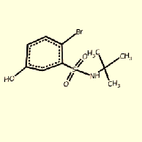 CC(C)(C)NS(=O)(=O)c1cc(O)ccc1Br